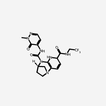 Cn1nccc(NC(=O)N2C3=C(C=CC(C(=O)NCC(F)(F)F)N3)N3CC[C@H]2C3)c1=O